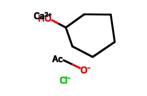 CC(=O)[O-].OC1CCCCC1.[Ca+2].[Cl-]